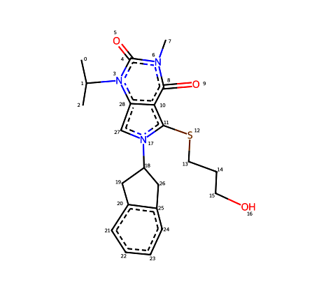 CC(C)n1c(=O)n(C)c(=O)c2c(SCCCO)n(C3Cc4ccccc4C3)cc21